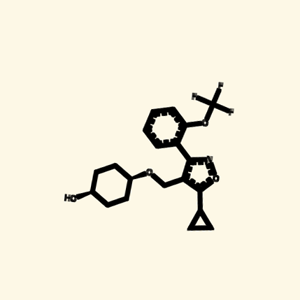 O[C@H]1CC[C@@H](OCc2c(-c3ccccc3OC(F)(F)F)noc2C2CC2)CC1